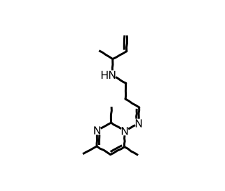 C=CC(C)NCC/C=N\N1C(C)=CC(C)=NC1C